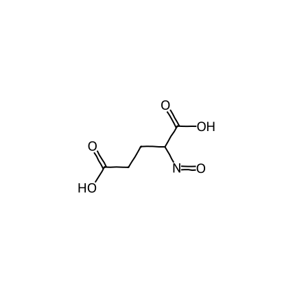 O=NC(CCC(=O)O)C(=O)O